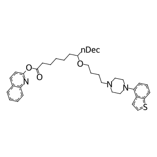 CCCCCCCCCCC(CCCCCC(=O)Oc1ccc2ccccc2n1)OCCCCN1CCN(c2cccc3sccc23)CC1